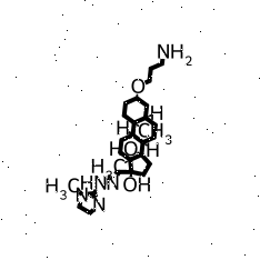 CN1CCN=C1N/N=C/[C@@]1(O)CC[C@]2(O)[C@@H]3CC[C@@H]4C[C@@H](OCCCN)CC[C@]4(C)[C@H]3CC[C@]12C